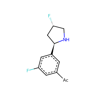 CC(=O)c1cc(F)cc([C@H]2C[C@H](F)CN2)c1